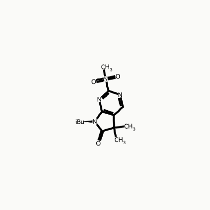 CC[C@H](C)N1C(=O)C(C)(C)c2cnc(S(C)(=O)=O)nc21